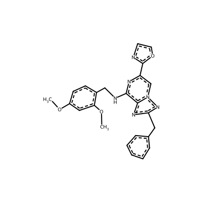 COc1ccc(CNc2nc(-c3ncco3)cn3nc(Cc4ccccc4)nc23)c(OC)c1